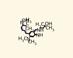 CC(C)C(/C=C\C=C\C1=CC(=C/NCCC(C)(C)O)/C(=N)C=C1N(C)C)=N\O